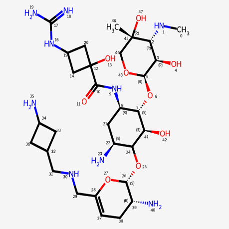 CN[C@@H]1[C@@H](O)[C@@H](O[C@H]2[C@H](NC(=O)C3(O)CC(NC(=N)N)C3)C[C@H](N)C(O[C@H]3OC(CNCC4CC(N)C4)=CC[C@H]3N)[C@@H]2O)OC[C@]1(C)O